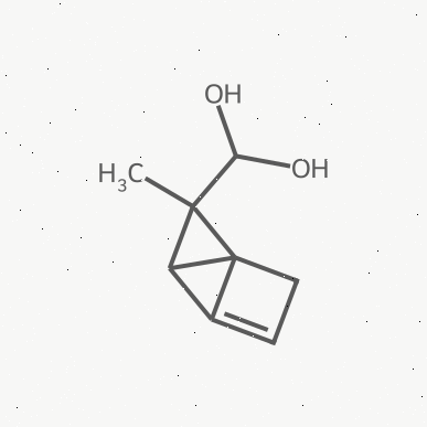 CC1(C(O)O)C2C3=CCC321